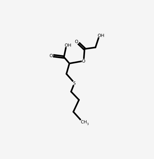 CCCCSCC(OC(=O)CO)C(=O)O